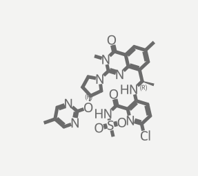 Cc1cnc(O[C@@H]2CCN(c3nc4c([C@@H](C)Nc5ccc(Cl)nc5C(=O)NS(C)(=O)=O)cc(C)cc4c(=O)n3C)C2)nc1